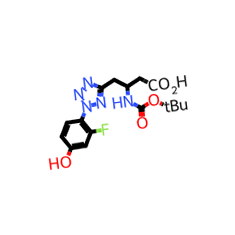 CC(C)(C)OC(=O)NC(CC(=O)O)Cc1nnn(-c2ccc(O)cc2F)n1